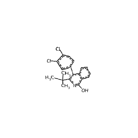 CC(C)(C)c1nc(O)c2ccccc2c1-c1ccc(Cl)c(Cl)c1